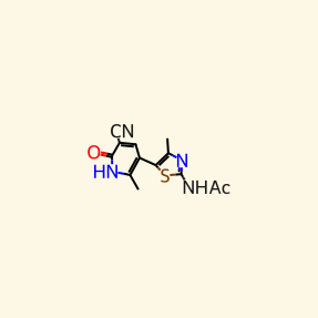 CC(=O)Nc1nc(C)c(-c2cc(C#N)c(=O)[nH]c2C)s1